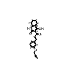 N#CCOc1cccc(/C=C/C(=O)c2c(O)c3ccccc3[nH]c2=O)c1